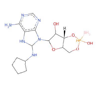 B[PH]1(O)OCC2OC(N3c4ncnc(N)c4NC3NC3CCCC3)C(O)[C@@H]2O1